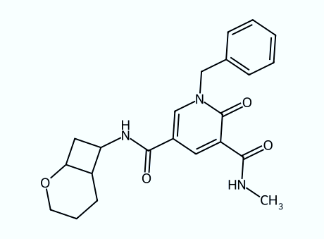 CNC(=O)c1cc(C(=O)NC2CC3OCCCC23)cn(Cc2ccccc2)c1=O